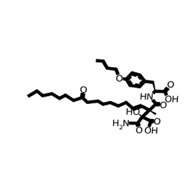 CCCCCCCC(=O)CCCCCC/C=C/[C@](C)(C(=O)N[C@@H](Cc1ccc(OCCCC)cc1)C(=O)O)[C@](O)(C(N)=O)C(=O)O